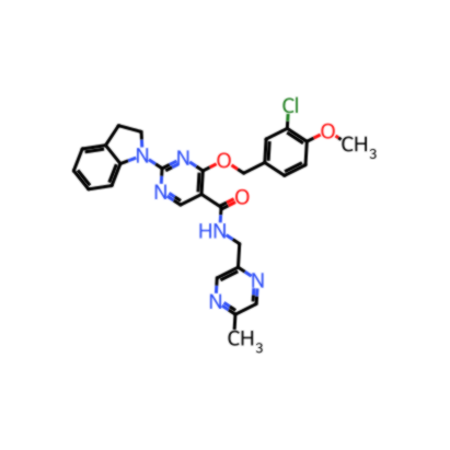 COc1ccc(COc2nc(N3CCc4ccccc43)ncc2C(=O)NCc2cnc(C)cn2)cc1Cl